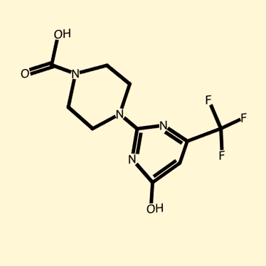 O=C(O)N1CCN(c2nc(O)cc(C(F)(F)F)n2)CC1